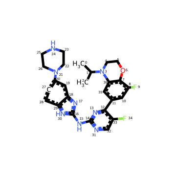 CC(C)N1CCOc2c(F)cc(-c3nc(Nc4nc5cc(N6CCNCC6)ccc5[nH]4)ncc3F)cc21